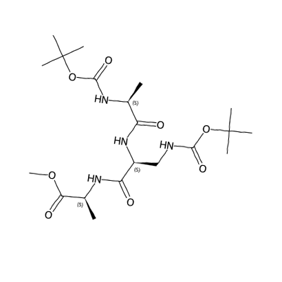 COC(=O)[C@H](C)NC(=O)[C@H](CNC(=O)OC(C)(C)C)NC(=O)[C@H](C)NC(=O)OC(C)(C)C